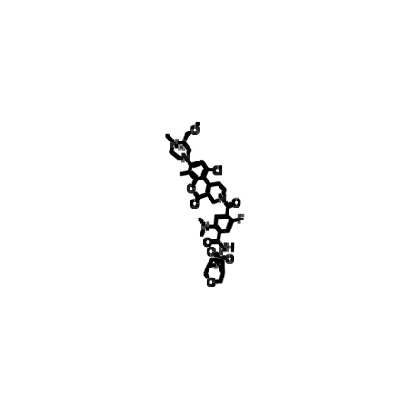 COC[C@H]1CN(c2cc(Cl)c3c4c(c(=O)oc3c2C)CN(C(=O)c2cc(N(C)C)c(C(=O)NS(=O)(=O)N3C5CCC3COC5)cc2F)CC4)CCN1C